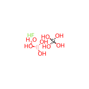 F.O.OB(O)O.O[Si](O)(O)O